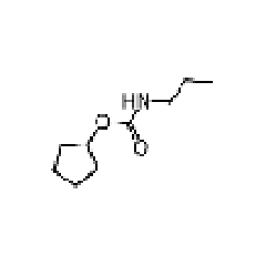 CCCNC(=O)OC1CCCC1